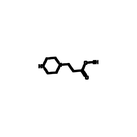 O=C(CCN1CCNCC1)OS